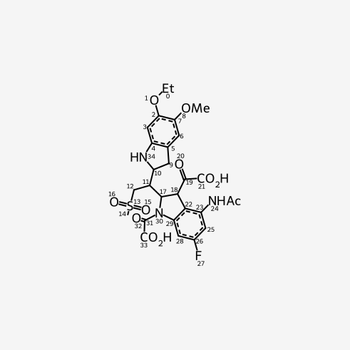 CCOc1cc2c(cc1OC)CC(C(CS(C)(=O)=O)C1C(C(=O)C(=O)O)c3c(NC(C)=O)cc(F)cc3N1C(=O)C(=O)O)N2